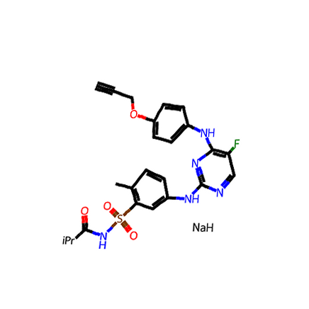 C#CCOc1ccc(Nc2nc(Nc3ccc(C)c(S(=O)(=O)NC(=O)C(C)C)c3)ncc2F)cc1.[NaH]